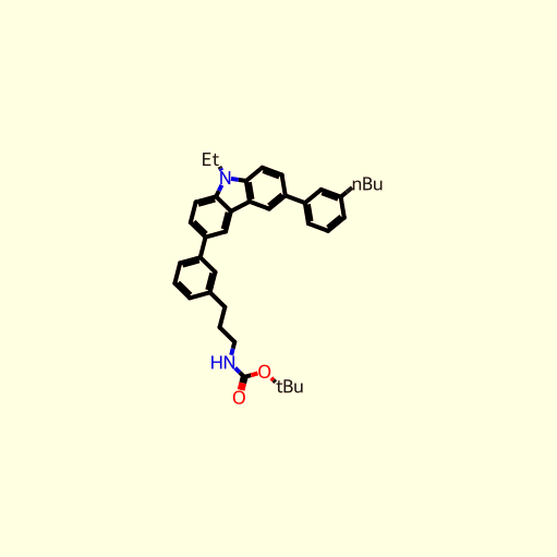 CCCCc1cccc(-c2ccc3c(c2)c2cc(-c4cccc(CCCNC(=O)OC(C)(C)C)c4)ccc2n3CC)c1